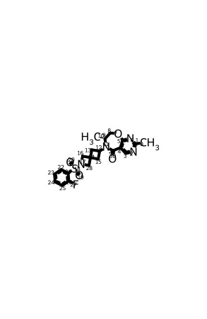 Cc1ncc2c(n1)OC[C@@H](C)N(C1CC3(C1)CN(S(=O)(=O)c1ccccc1F)C3)C2=O